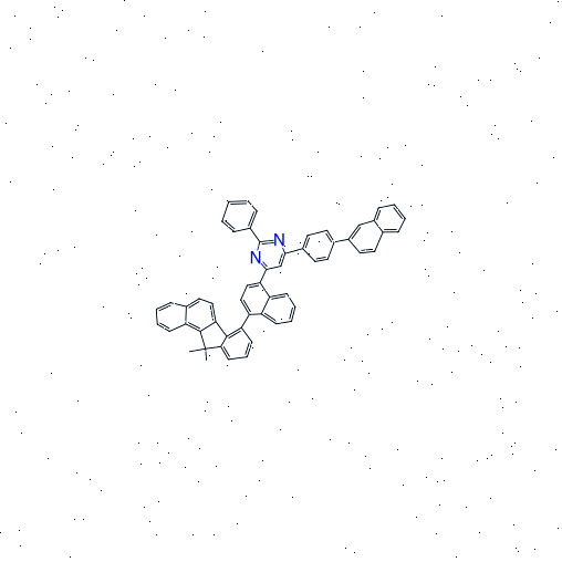 CC1(C)c2cccc(-c3ccc(-c4cc(-c5ccc(-c6ccc7ccccc7c6)cc5)nc(-c5ccccc5)n4)c4ccccc34)c2-c2ccc3ccccc3c21